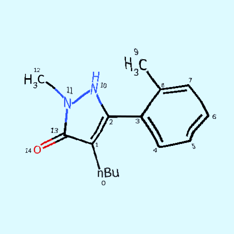 CCCCc1c(-c2ccccc2C)[nH]n(C)c1=O